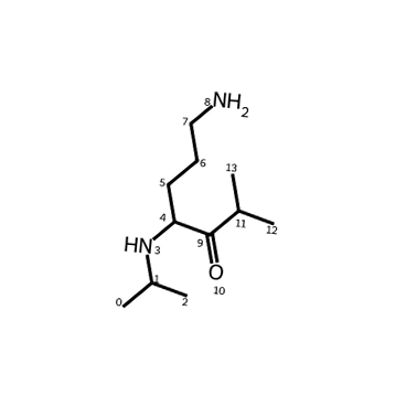 CC(C)NC(CCCN)C(=O)C(C)C